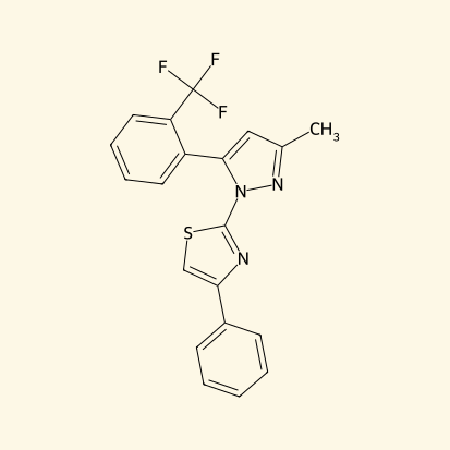 Cc1cc(-c2ccccc2C(F)(F)F)n(-c2nc(-c3ccccc3)cs2)n1